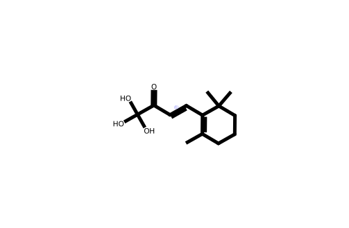 CC1=C(/C=C/C(=O)C(O)(O)O)C(C)(C)CCC1